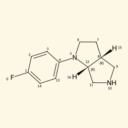 Fc1ccc(N2CC[C@@H]3CNC[C@@H]32)cc1